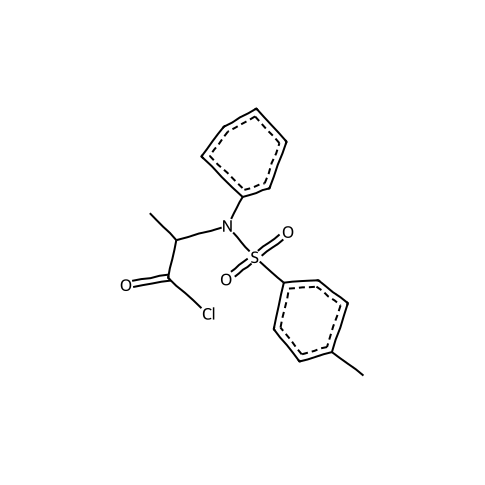 Cc1ccc(S(=O)(=O)N(c2ccccc2)C(C)C(=O)Cl)cc1